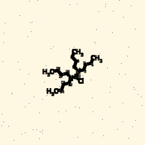 CCCCN(CCCC)B(Cl)N(CCCC)CCCC